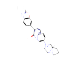 Cc1nc2ccc(C3=C\C(=O)N4C=C(N5CCN6CCC[C@@H]6C5)C=C\C4=C/C=C/3)cc2o1